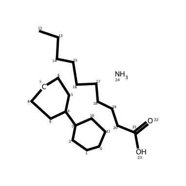 C1CCC(C2CCCCC2)CC1.CCCCCCCCCC(=O)O.N